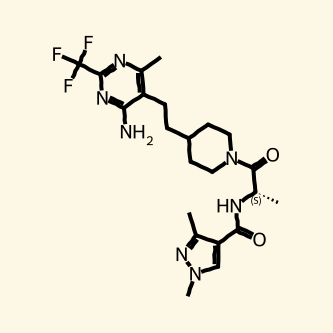 Cc1nn(C)cc1C(=O)N[C@@H](C)C(=O)N1CCC(CCc2c(C)nc(C(F)(F)F)nc2N)CC1